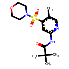 Cc1cnc(NC(=O)C(C)(C)C)cc1S(=O)(=O)N1CCOCC1